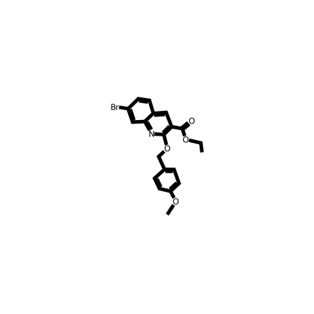 CCOC(=O)c1cc2ccc(Br)cc2nc1OCc1ccc(OC)cc1